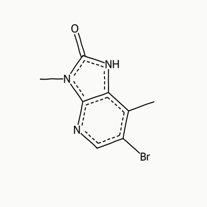 Cc1c(Br)cnc2c1[nH]c(=O)n2C